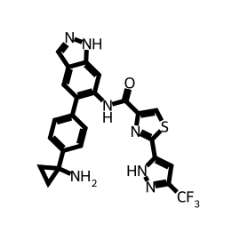 NC1(c2ccc(-c3cc4cn[nH]c4cc3NC(=O)c3csc(-c4cc(C(F)(F)F)n[nH]4)n3)cc2)CC1